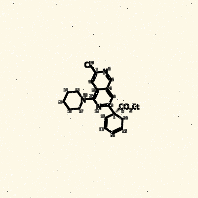 CCOC(=O)[C@@]1(c2cc3cnc(Cl)cc3c(N3CCCCC3)n2)C=CC=CC1